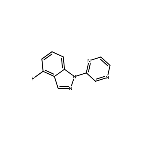 Fc1cccc2c1cnn2-c1cnccn1